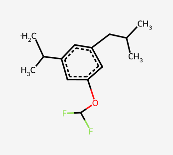 [CH2]C(C)c1cc(CC(C)C)cc(OC(F)F)c1